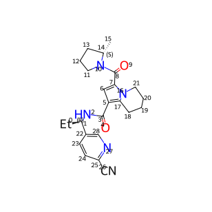 CC[C@@H](NC(=O)c1cc(C(=O)N2CCC[C@@H]2C)n2c1CCCC2)c1ccc(C#N)nc1